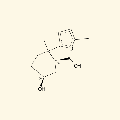 Cc1c[c]c(C2(C)CC[C@H](O)C[C@@H]2CO)o1